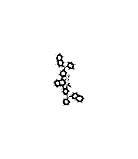 C[Si]1(C)c2cc(N(c3ccccc3)c3ccc4ccccc4c3)ccc2-c2c1c1c(c3ccccc23)-c2ccc(N(c3ccccc3)c3ccc4ccccc4c3)cc2[Si]1(C)C